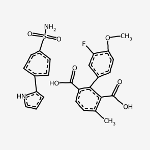 COc1ccc(-c2c(C(=O)O)ccc(C)c2C(=O)O)cc1F.NS(=O)(=O)c1ccc(-c2ccc[nH]2)cc1